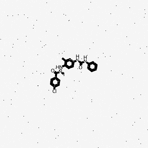 Cc1cc(NC(=O)Nc2ccccc2)ccc1NN(I)C(=O)c1ccc(Cl)cc1